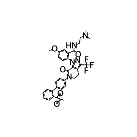 COc1ccc(-n2nc(C(F)(F)F)c3c2C(=O)N(c2ccc(-c4ccccc4S(C)(=O)=O)cc2)CC3)c(C(=O)NCCN(C)C)c1